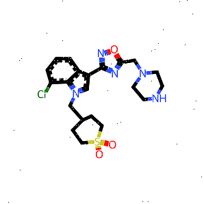 O=S1(=O)CCC(Cn2cc(-c3noc(CN4CCNCC4)n3)c3cccc(Cl)c32)CC1